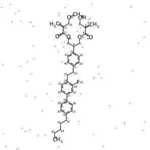 C=C(CO)C(=O)OCC(COC(=O)C(=C)COC)c1ccc(CCc2ccc(-c3ccc(CCCCC)cc3)cc2F)cc1